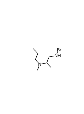 CCCN(C)C(C)CNBr